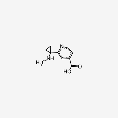 CNC1(c2cc(C(=O)O)ccn2)CC1